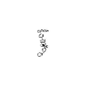 COC(=O)c1ccc(-c2nc(CS(=O)(=O)c3ccc(CN4CCCCC4)cc3)c(C)o2)cc1